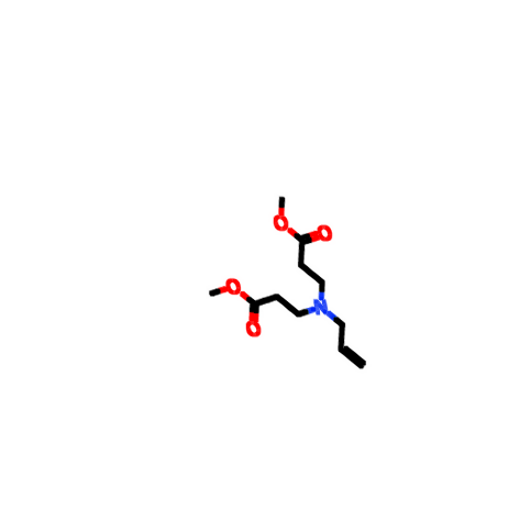 C=CCN(CCC(=O)OC)CCC(=O)OC